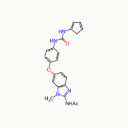 CC(=O)Nc1nc2ccc(Oc3ccc(NC(=O)NC4=CC=CC4)cc3)cc2n1C